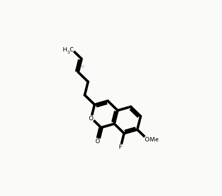 C/C=C/CCc1cc2ccc(OC)c(F)c2c(=O)o1